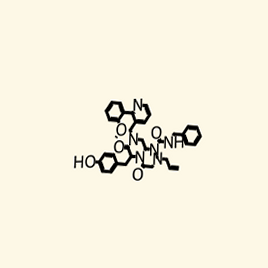 C=CCN1CC(=O)N2C(Cc3ccc(O)cc3)C(=O)N(Cc3cccnc3-c3ccccc3OC)CC2N1C(=O)NCc1ccccc1